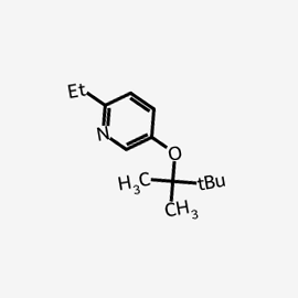 CCc1ccc(OC(C)(C)C(C)(C)C)cn1